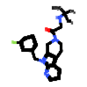 CC(C)(NCC(=O)N1CCc2c(n(Cc3cccc(F)c3)c3ncccc23)C1)C(=O)O